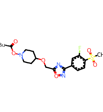 CC(C)(C)C(=O)ON1CCC(OCc2nc(-c3ccc(S(C)(=O)=O)c(F)c3)no2)CC1